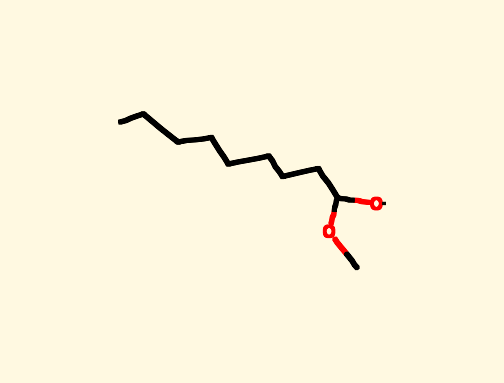 CCCCCCCCC([O])OC